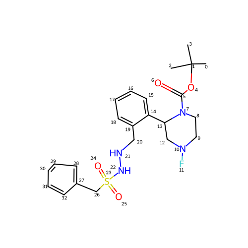 CC(C)(C)OC(=O)N1CCN(F)CC1c1ccccc1CNNS(=O)(=O)Cc1ccccc1